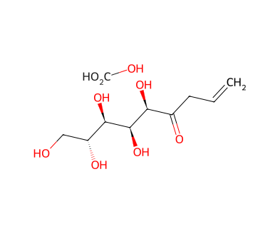 C=CCC(=O)[C@H](O)[C@@H](O)[C@H](O)[C@H](O)CO.O=C(O)O